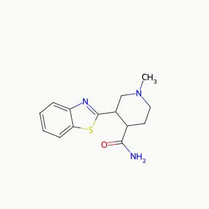 CN1CCC(C(N)=O)C(c2nc3ccccc3s2)C1